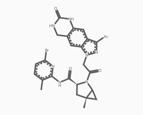 CC(=O)c1nn(CC(=O)N2C3C[C@]3(C)C[C@H]2C(=O)Nc2nc(Br)ccc2C)c2cc3c(cc12)NC(=O)NC3